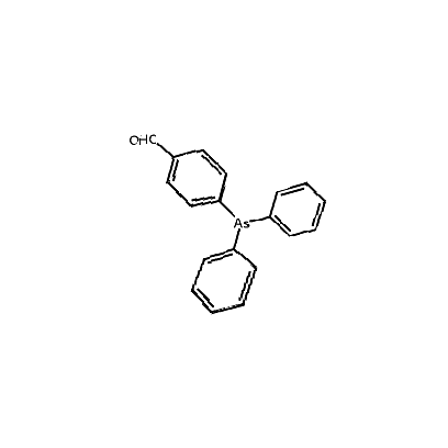 O=Cc1ccc([As](c2ccccc2)c2ccccc2)cc1